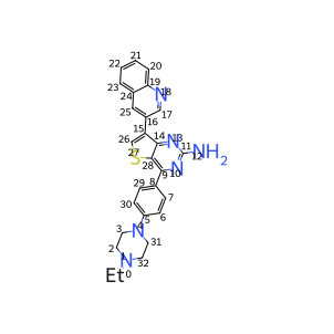 CCN1CCN(c2ccc(-c3nc(N)nc4c(-c5cnc6ccccc6c5)csc34)cc2)CC1